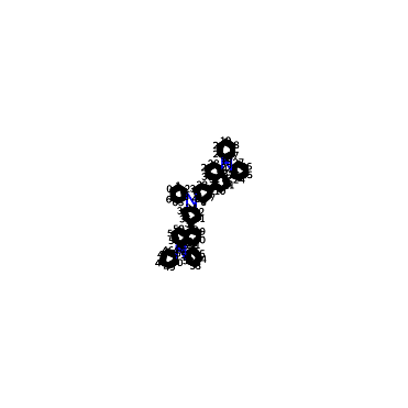 c1ccc(N(c2ccc(-c3cccc4c(N(c5ccccc5)c5ccccc5)cccc34)cc2)c2ccc(-c3cccc4c(N(c5ccccc5)c5ccccc5)cccc34)cc2)cc1